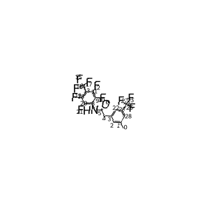 Cc1cc(CC(=O)Nc2c(F)c(F)c(C(F)(F)F)c(F)c2F)cc(C(F)(F)F)c1